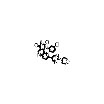 Cn1c(=O)c2cnc3ccc(-c4cnc(N5CCOCC5)nc4)nc3c2n(-c2cccc(Cl)c2)c1=O